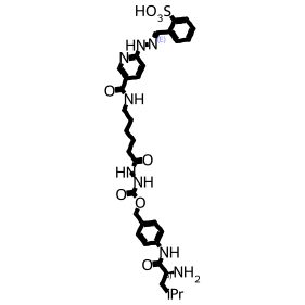 CC(C)C[C@H](N)C(=O)Nc1ccc(COC(=O)NNC(=O)CCCCCNC(=O)c2ccc(N/N=C/c3ccccc3S(=O)(=O)O)nc2)cc1